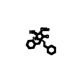 CON1C(=N)N[C@](CCC2CCCCC2)(CC2CCCCC2)C1=O